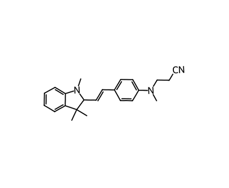 CN(CCC#N)c1ccc(/C=C/C2N(C)c3ccccc3C2(C)C)cc1